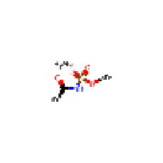 CCCOS(=O)(=O)NC(=O)C(C)C.[MgH2]